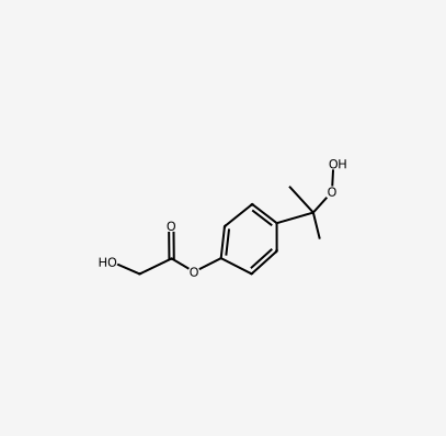 CC(C)(OO)c1ccc(OC(=O)CO)cc1